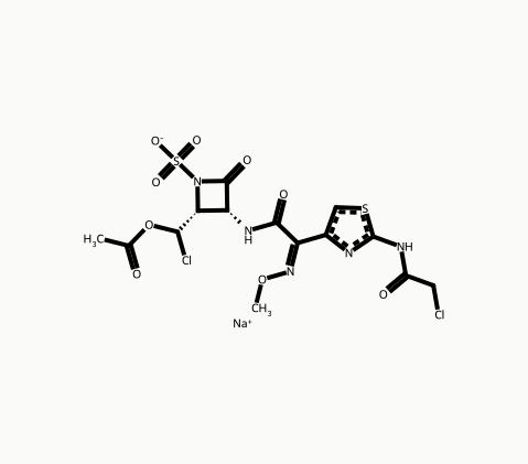 CON=C(C(=O)N[C@H]1C(=O)N(S(=O)(=O)[O-])[C@H]1C(Cl)OC(C)=O)c1csc(NC(=O)CCl)n1.[Na+]